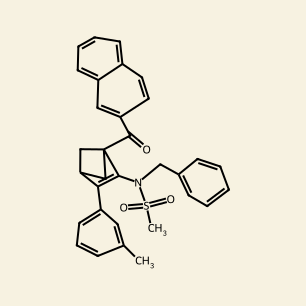 Cc1cccc(C2=C(N(Cc3ccccc3)S(C)(=O)=O)C3(C(=O)c4ccc5ccccc5c4)CC2C3)c1